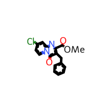 COC(=O)c1nc2cc(Cl)ccn2c(=O)c1Cc1ccccc1